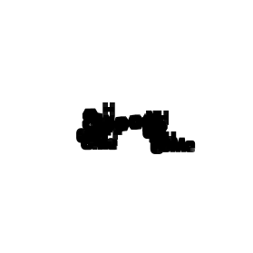 COC(=O)NC(C)C(=O)N1CCC[C@H]1c1nc(-c2ccc(-c3ccc(-c4cnc([C@@H]5Cc6cccc7c6N5C(=O)[C@@H](NC(=O)OC)CC7)[nH]4)c(F)c3)cc2)c[nH]1